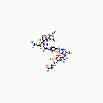 CSCC[C@H](NC(=O)Cc1ccc(CNC(=O)[C@H](CCCCN(C)C)NC(=O)[C@@H](NC(=O)[C@@H](N)CCSC)C(C)C)cc1)C(=O)N[C@H](C(=O)N[C@@H](CCCCNC(C)=O)C(=O)O)C(C)C